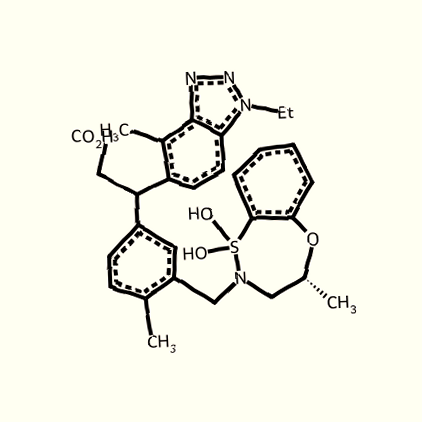 CCn1nnc2c(C)c(C(CC(=O)O)c3ccc(C)c(CN4C[C@@H](C)Oc5ccccc5S4(O)O)c3)ccc21